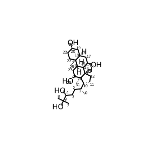 C[C@H](CC[C@H](O)C(C)(C)O)[C@H]1CC[C@H]2[C@@H]3[C@H](O)C[C@@H]4C[C@H](O)CC[C@]4(C)[C@H]3C[C@H](O)[C@]12C